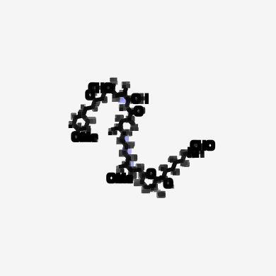 COC1CCC(CCC(CCC(C)/C=C(\C)C(O)CC(=O)C(C)CC(C)/C=C/C=C/C=C(\C)C(CC2CC[C@@H](C)C(C(=O)CCCCCNC=O)O2)OC)OC=O)CC1